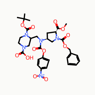 COC(=O)[C@H]1C[C@H](N(CC2CN(C(=O)O)CCN2C(=O)OC(C)(C)C)C(=O)Oc2ccc([N+](=O)[O-])cc2)CN1C(=O)OCc1ccccc1